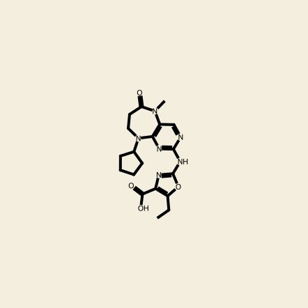 CCc1oc(Nc2ncc3c(n2)N(C2CCCC2)CCC(=O)N3C)nc1C(=O)O